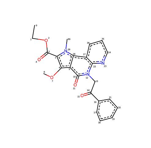 CCOC(=O)c1c(OC)c2c(=O)n(CC(=O)c3ccccc3)c3ncccc3c2n1C